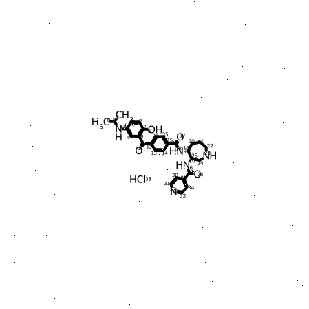 CC(C)Nc1ccc(O)c(C(=O)c2ccc(C(=O)N[C@@H]3CCCNC[C@H]3NC(=O)c3ccncc3)cc2)c1.Cl